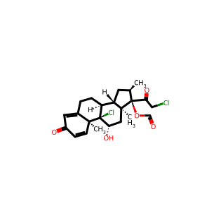 C[C@@H]1C[C@H]2[C@@H]3CCC4=CC(=O)C=C[C@]4(C)[C@@]3(Cl)[C@@H](O)C[C@]2(C)[C@@]1(OC=O)C(=O)CCl